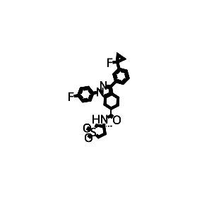 C[C@]1(NC(=O)[C@@H]2CCc3c(-c4cccc(C5(F)CC5)c4)nn(-c4ccc(F)cc4)c3C2)CCS(=O)(=O)C1